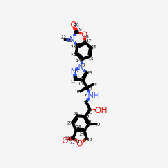 Cc1c([C@@H](O)CNC(C)(C)c2cnn(-c3ccc4oc(=O)n(C)c4c3)c2)ccc2c1COC2=O